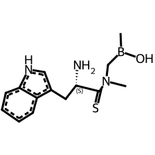 CB(O)CN(C)C(=S)[C@@H](N)Cc1c[nH]c2ccccc12